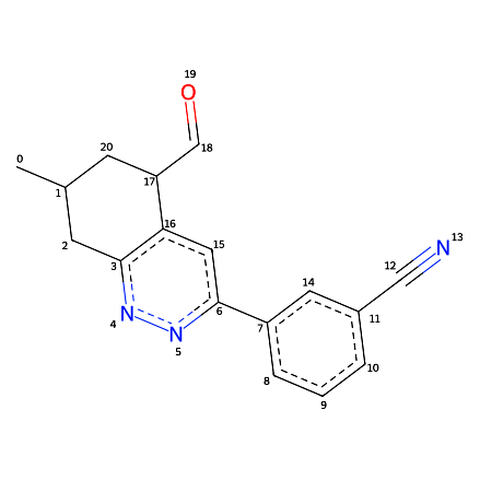 CC1Cc2nnc(-c3cccc(C#N)c3)cc2C(C=O)C1